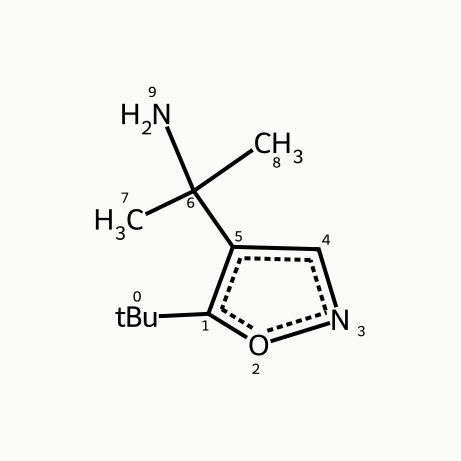 CC(C)(C)c1oncc1C(C)(C)N